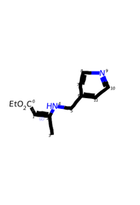 CCOC(=O)/C=C(/C)NCc1ccncc1